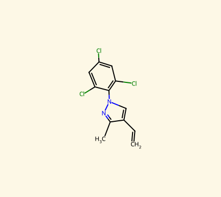 C=Cc1cn(-c2c(Cl)cc(Cl)cc2Cl)nc1C